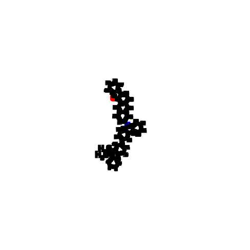 C[Si]1(C)c2ccccc2-c2ccc(-c3ccc4c(c3)c3ccccc3n4-c3ccc4cc5c(ccc6c7ccccc7oc56)cc4c3)cc21